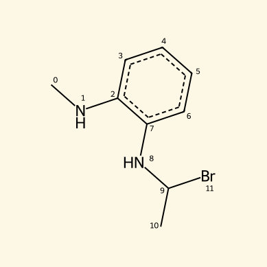 CNc1ccccc1NC(C)Br